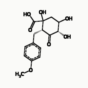 COc1ccc(C[C@H]2C(=O)[C@@H](O)C(O)CC2(O)C(=O)O)cc1